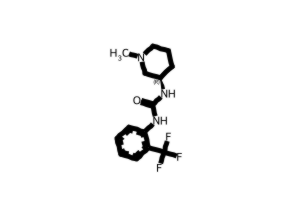 CN1CCC[C@@H](NC(=O)Nc2ccccc2C(F)(F)F)C1